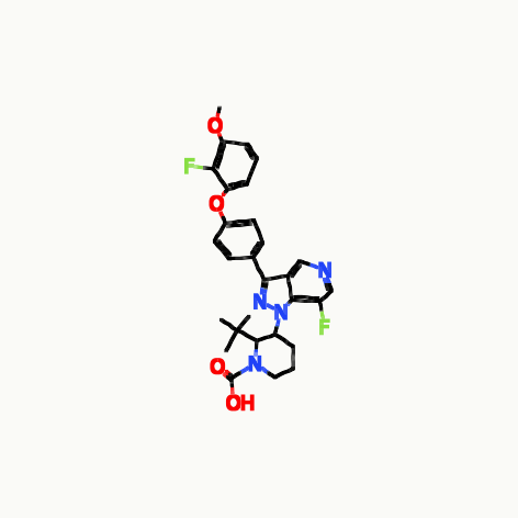 COc1cccc(Oc2ccc(-c3nn(C4CCCN(C(=O)O)C4C(C)(C)C)c4c(F)cncc34)cc2)c1F